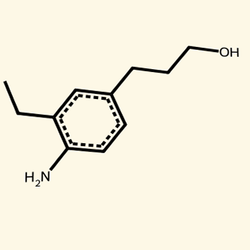 CCc1cc(CCCO)ccc1N